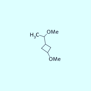 COC1CC(C(C)OC)C1